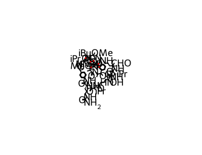 CCC(C)[C@H](C(CC(=O)N1CCC[C@H]1C(OC)C(C)C(=O)NC(C)C(O)c1ccccc1)OC)N(C)C(=O)[C@@H](NC(=O)C(C(C)C)N(C)OCc1ccc(NC(=O)[C@H](CCCNC(N)=O)NC(=O)C(NC(=O)CCCC(NO)C(=O)N[C@H](C(=O)NC(C=O)CCCNC(N)=O)C(C)C)C(C)C)cc1)C(C)C